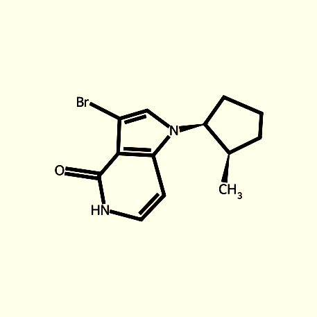 C[C@@H]1CCC[C@@H]1n1cc(Br)c2c(=O)[nH]ccc21